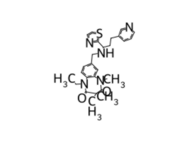 CCN1C(=O)C(C)(C)C(=O)N(C)c2cc(CNC(CCc3cccnc3)c3nccs3)ccc21